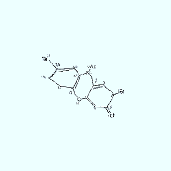 CC(=O)N1C2=CC(Br)C(=O)C=C2OC2=C1C=C(Br)CC2